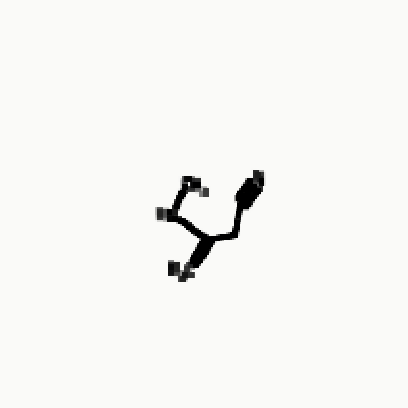 C=C(CC#N)NC